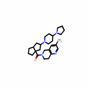 O=C(N1CCc2ncc(C(F)(F)F)cc2C1)C12CCCC1CC(N1CCC(N3CCCC3)CC1)C2